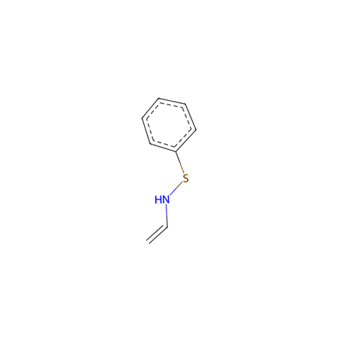 C=CNSc1ccccc1